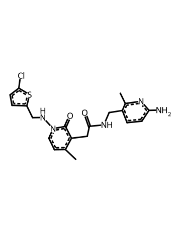 Cc1ccn(NCc2ccc(Cl)s2)c(=O)c1CC(=O)NCc1ccc(N)nc1C